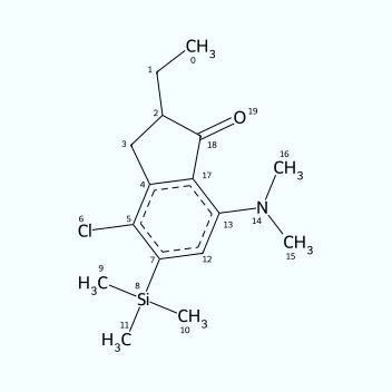 CCC1Cc2c(Cl)c([Si](C)(C)C)cc(N(C)C)c2C1=O